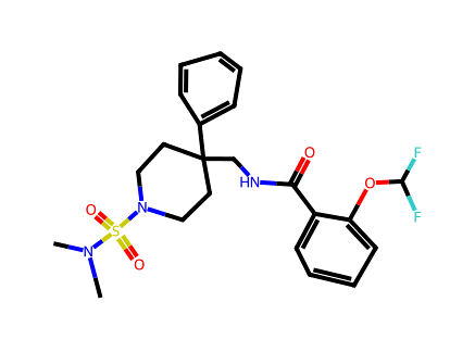 CN(C)S(=O)(=O)N1CCC(CNC(=O)c2ccccc2OC(F)F)(c2ccccc2)CC1